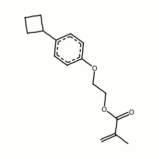 C=C(C)C(=O)OCCOc1ccc(C2CCC2)cc1